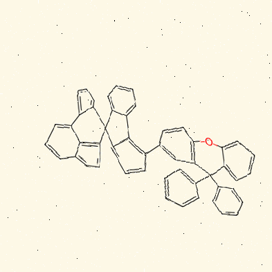 c1ccc(C2(c3ccccc3)c3ccccc3Oc3ccc(-c4cccc5c4-c4ccccc4C54c5ccccc5-c5cccc6cccc4c56)cc32)cc1